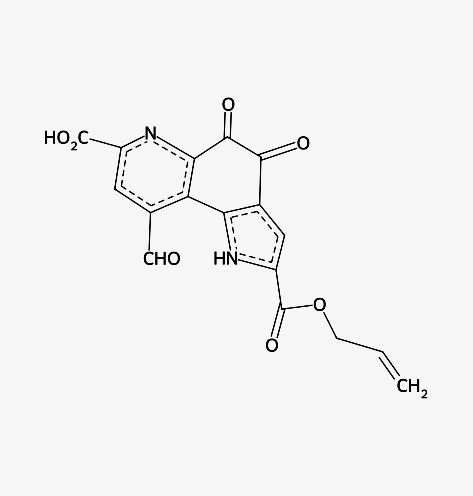 C=CCOC(=O)c1cc2c([nH]1)-c1c(C=O)cc(C(=O)O)nc1C(=O)C2=O